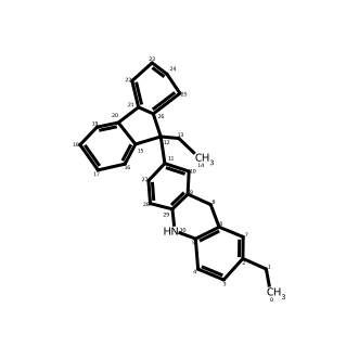 CCc1ccc2c(c1)Cc1cc(C3(CC)c4ccccc4-c4ccccc43)ccc1N2